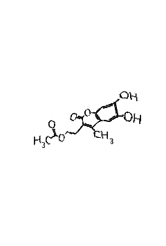 CC(=O)OCCc1c(C)c2cc(O)c(O)cc2oc1=O